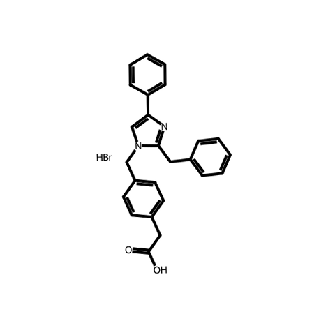 Br.O=C(O)Cc1ccc(Cn2cc(-c3ccccc3)nc2Cc2ccccc2)cc1